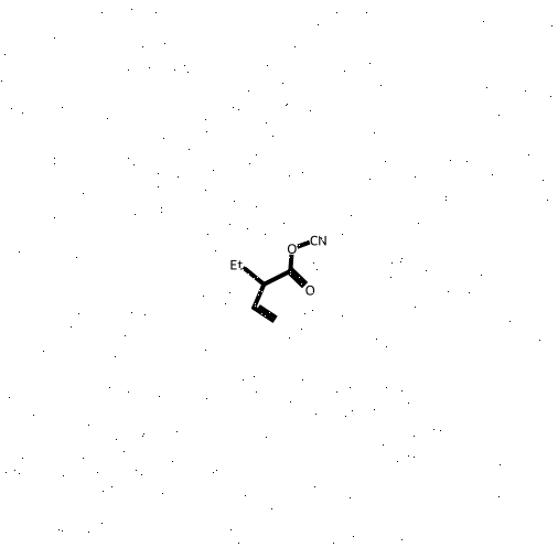 C=CC(CC)C(=O)OC#N